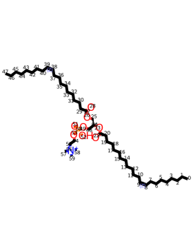 CCCCCCCC/C=C\CCCCCCCCCCCC(=O)O[C@H](COC(=O)CCCCCCCCC/C=C\CCCCCCCC)COP(=O)(O)OCC[N+](C)(C)C